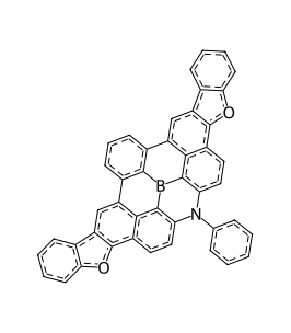 c1ccc(N2c3ccc4c5c(cc6c7ccccc7oc46)-c4cccc6c4B(c35)c3c2ccc2c3c-6cc3c4ccccc4oc23)cc1